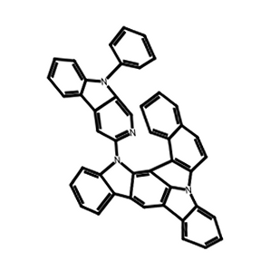 c1ccc(-n2c3ccccc3c3cc(-n4c5ccccc5c5cc6c7ccccc7n7c8ccc9ccccc9c8c(c54)c67)ncc32)cc1